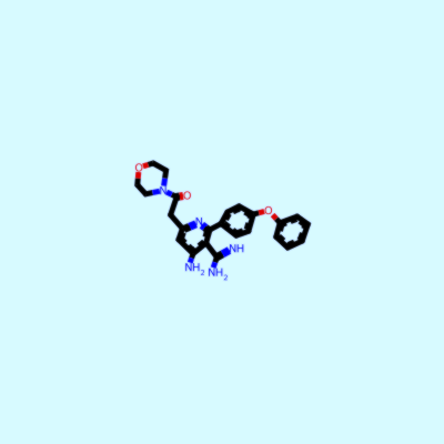 N=C(N)c1c(N)cc(CC(=O)N2CCOCC2)nc1-c1ccc(Oc2ccccc2)cc1